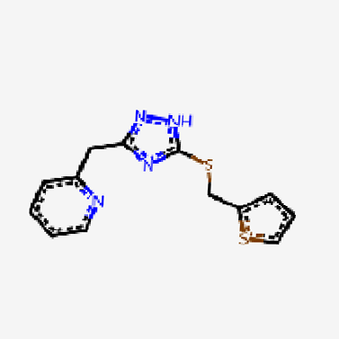 c1ccc(Cc2n[nH]c(SCc3cccs3)n2)nc1